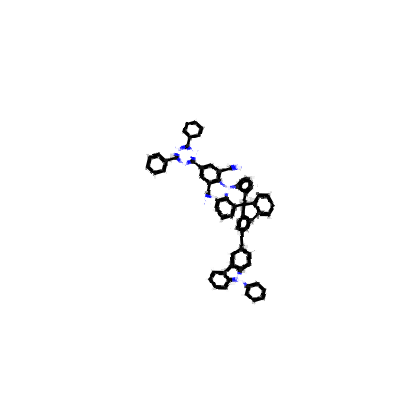 N#Cc1cc(-c2nc(-c3ccccc3)nc(-c3ccccc3)n2)cc(C#N)c1N1c2ccccc2C2(c3ccccc3-c3cc(-c4ccc5c(c4)c4ccccc4n5-c4ccccc4)ccc32)c2ccccc21